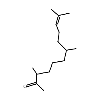 CC(=O)C(C)CCCC(C)CCC=C(C)C